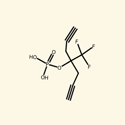 C#CCC(CC#C)(OP(=O)(O)O)C(F)(F)F